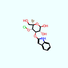 OC[C@@]1(Br)O[C@@H](O)[C@H](O)[C@@H](Oc2cc3ccccc3[nH]2)[C@@H]1OCl